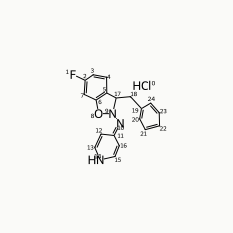 Cl.Fc1ccc2c(c1)ON(N=c1cc[nH]cc1)C2Cc1ccccc1